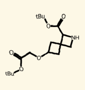 CC(C)(C)OC(=O)COC1CC2(CNC2C(=O)OC(C)(C)C)C1